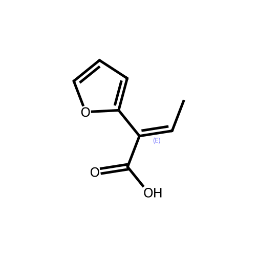 C/C=C(/C(=O)O)c1ccco1